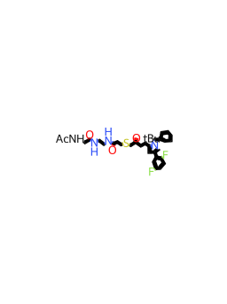 CC(=O)NCC(=O)NCCNC(=O)CCSCC(=O)C[C@@H](c1cc(-c2cc(F)ccc2F)cn1Cc1ccccc1)C(C)(C)C